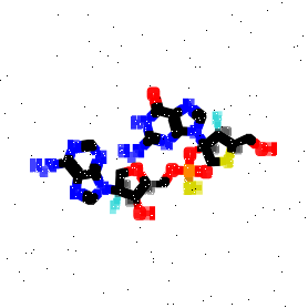 Nc1nc2c(ncn2[C@]2(OP(=O)(S)OC[C@H]3OC[C@](F)(n4cnc5c(N)ncnc54)[C@@H]3O)CS[C@H](CO)[C@H]2F)c(=O)[nH]1